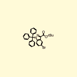 CC(C)(C)OC(=O)c1nn(C(c2ccccc2)(c2ccccc2)c2ccccc2)c2ccc(Br)cc12